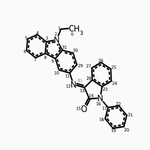 CCn1c2ccccc2c2cc(/N=C3/C(=O)N(c4ccccc4)c4ccccc43)ccc21